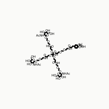 CC(=O)N[C@H]1[C@H](OCCOCCNC(=O)CCOCC(COCCC(=O)NCCOCCO[C@@H]2O[C@H](CO)[C@H](O)[C@H](O)[C@H]2NC(C)=O)(COCCC(=O)NCCOCCO[C@@H]2O[C@H](CO)[C@H](O)[C@H](O)[C@H]2NC(C)=O)NC(=O)CCOCCOCCNC(=O)CCc2ccc(OP(=O)(O)I)cc2)O[C@H](CO)[C@H](O)[C@@H]1O